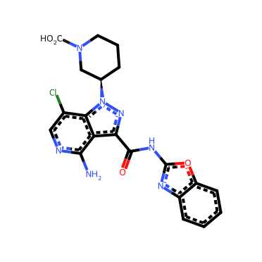 Nc1ncc(Cl)c2c1c(C(=O)Nc1nc3ccccc3o1)nn2[C@@H]1CCCN(C(=O)O)C1